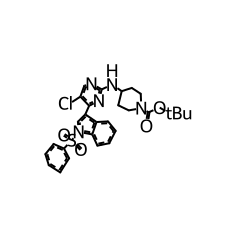 CC(C)(C)OC(=O)N1CCC(Nc2ncc(Cl)c(-c3cn(S(=O)(=O)c4ccccc4)c4ccccc34)n2)CC1